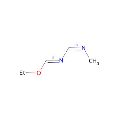 CCO/C=N/C=N\C